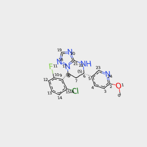 COc1ccc([C@@H]2C[C@H](c3c(F)cccc3Cl)n3ncnc3N2)cn1